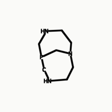 C1CN2CCNCP(CN1)C2